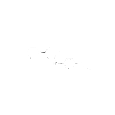 CCCCCOc1ccc(NC(=S)NC(=O)[C@@H]2CCCN(C)C2)cc1